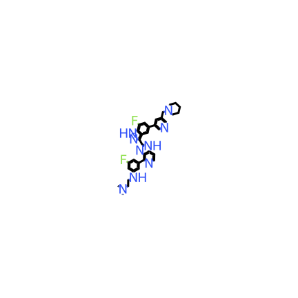 CN(C)CCNc1cc(F)cc(-c2nccc3[nH]c(-c4n[nH]c5c(F)cc(-c6cncc(CN7CCCCC7)c6)cc45)nc23)c1